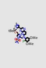 COc1cc(OC)c(F)c(N(Cc2nc(CO[Si](C)(C)C(C)(C)C)cn2S(=O)(=O)N(C)C)c2ccc3ncc(-c4cnn(C)c4)nc3n2)c1